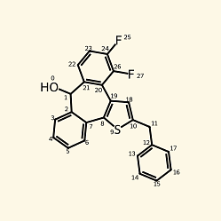 OC1c2ccccc2-c2sc(Cc3ccccc3)cc2-c2c1ccc(F)c2F